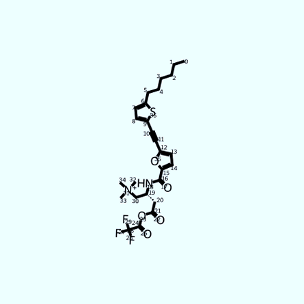 CCCCCCc1ccc(C#Cc2ccc(C(=O)N[C@H](CC(=O)OC(=O)C(F)(F)F)C[N+](C)(C)C)o2)s1